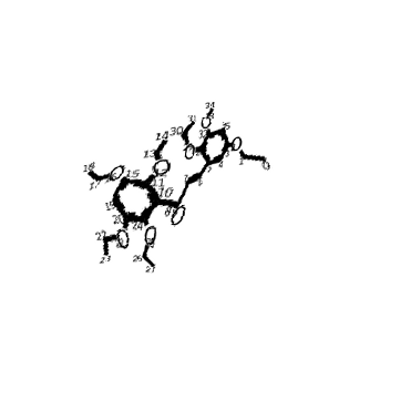 CCOc1cc(C=CC(=O)c2c(OCC)c(OCC)cc(OCC)c2OCC)c(OCC)c(OC)c1